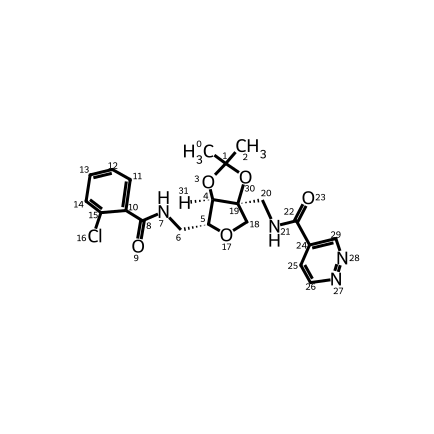 CC1(C)O[C@@H]2[C@@H](CNC(=O)c3ccccc3Cl)OC[C@]2(CNC(=O)c2ccnnc2)O1